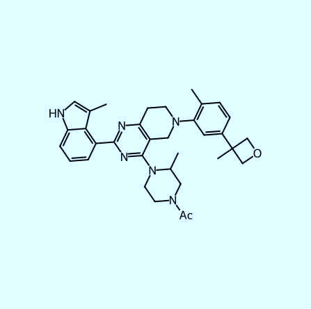 CC(=O)N1CCN(c2nc(-c3cccc4[nH]cc(C)c34)nc3c2CN(c2cc(C4(C)COC4)ccc2C)CC3)C(C)C1